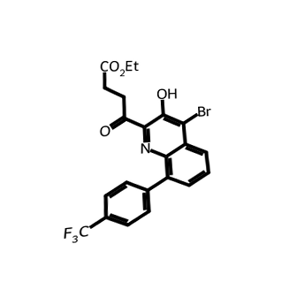 CCOC(=O)CCC(=O)c1nc2c(-c3ccc(C(F)(F)F)cc3)cccc2c(Br)c1O